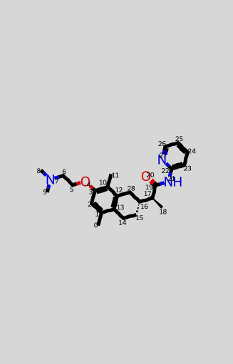 Cc1cc(OCCN(C)C)c(C)c2c1CC[C@@H]([C@H](C)C(=O)Nc1ccccn1)C2